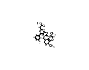 CC1CCC(Cn2c(N3CCOC[C@H]3C)nc3nc(CC(=O)O)nc(-c4cccc(Cl)c4)c32)CC1